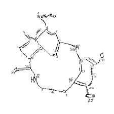 CNc1cc2nc3c(cnn13)C(=O)NCCOc1cc(c(Cl)cc1Cl)N2